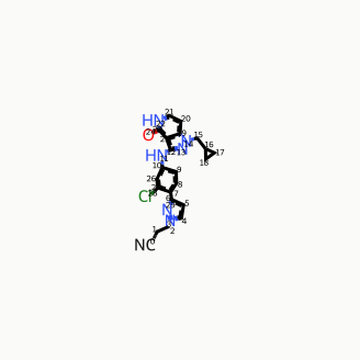 N#CCCn1ccc(-c2ccc(Nc3nn(CC4CC4)c4cc[nH]c(=O)c34)cc2Cl)n1